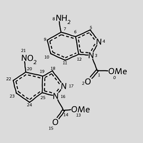 COC(=O)n1ncc2c(N)cccc21.COC(=O)n1ncc2c([N+](=O)[O-])cccc21